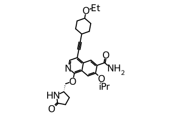 CCOC1CCC(C#Cc2cnc(OC[C@@H]3CCC(=O)N3)c3cc(OC(C)C)c(C(N)=O)cc23)CC1